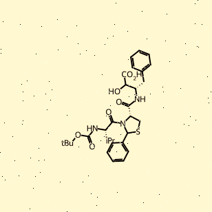 CC(C)[C@H](NC(=O)OC(C)(C)C)C(=O)N1C(c2ccccc2)SC[C@H]1C(=O)N[C@@H](Cc1ccccc1)C(O)C(=O)O